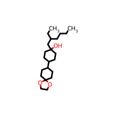 CCCCC(CC)CC1(O)CCC(C2CCC3(CC2)OCCO3)CC1